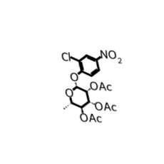 CC(=O)O[C@@H]1[C@@H](OC(C)=O)[C@H](C)O[C@H](Oc2ccc([N+](=O)[O-])cc2Cl)[C@@H]1OC(C)=O